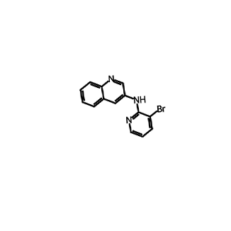 Brc1cccnc1Nc1cnc2ccccc2c1